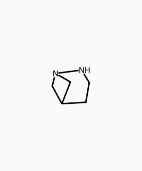 C1CC2CN(C2)N1